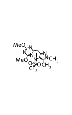 COc1nc(Cc2nn(C)c(C)c2NS(=O)(=O)C(F)(F)F)nc(OC)n1